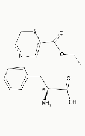 CCOC(=O)C1=CN=CCS1.N[C@@H](Cc1ccccc1)C(=O)O